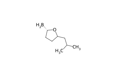 B[C@H]1CCC(CC(C)C)O1